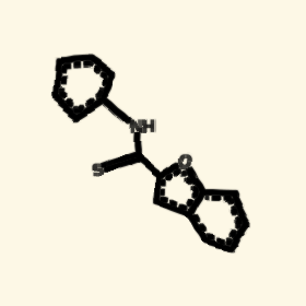 S=C(Nc1ccccc1)c1cc2ccccc2o1